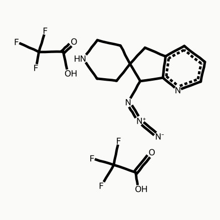 O=C(O)C(F)(F)F.O=C(O)C(F)(F)F.[N-]=[N+]=NC1c2ncccc2CC12CCNCC2